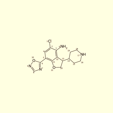 Nc1c(Cl)cc(-c2ncno2)c2c1C(C1CCNCC1)CO2